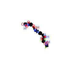 O=C1CCC(N2Cc3cc(OC[C@H](O)CN4CC5(C4)CN(c4ccc(-c6cnc7[nH]cc(C(=O)c8c(F)ccc(NS(=O)(=O)N9CC[C@@H](F)C9)c8F)c7c6)cc4)C5)ccc3C2=O)C(=O)N1